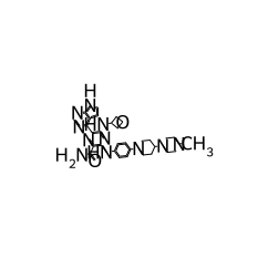 CN1CCN(C2CCN(c3ccc(Nc4nc(NC5COC5)c(-c5ncnc6[nH]ccc56)nc4C(N)=O)cc3)CC2)CC1